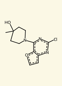 CC1(O)CCN(c2nc(Cl)nc3ccoc23)CC1